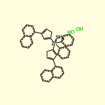 Cl.Cl.[SiH2]=[Zr]([C]1=CC(c2cccc3ccccc23)=CC1)([C]1=CC(c2cccc3ccccc23)=CC1)([c]1ccccc1)[c]1ccccc1